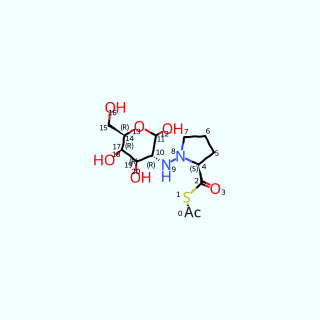 CC(=O)SC(=O)[C@@H]1CCCN1N[C@H]1C(O)O[C@H](CO)[C@H](O)[C@@H]1O